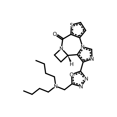 CCCCN(CCCC)Cc1nnc(-c2ncn3c2[C@@H]2CCN2C(=O)c2sccc2-3)o1